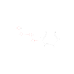 OOOOc1ccccc1